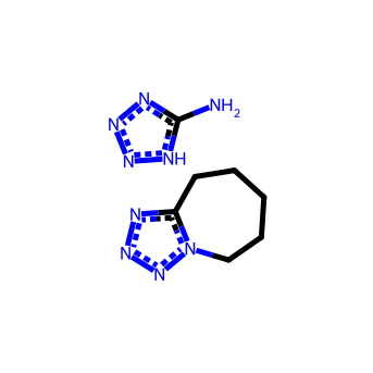 C1CCc2nnnn2CC1.Nc1nnn[nH]1